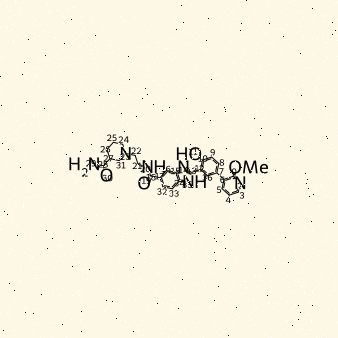 COc1ncccc1-c1ccc(O)c(-c2nc3cc(C(=O)NCCN4CCCC(C(N)=O)C4)ccc3[nH]2)c1